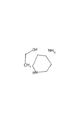 C1CCNCC1.CCO.N